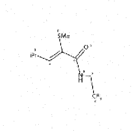 CS/C(=C\C(C)C)C(=O)NCC(F)(F)F